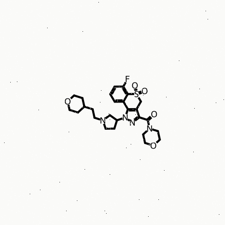 O=C(c1nn(C2CCN(CCC3CCOCC3)C2)c2c1CS(=O)(=O)c1c(F)cccc1-2)N1CCOCC1